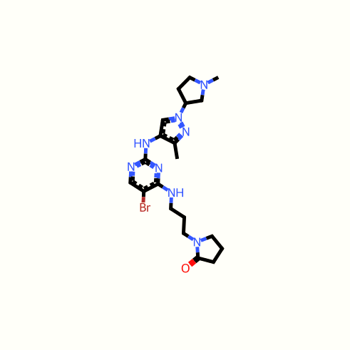 Cc1nn(C2CCN(C)C2)cc1Nc1ncc(Br)c(NCCCN2CCCC2=O)n1